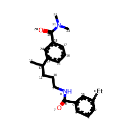 CCc1cccc(C(=O)NCCCC(C)c2cccc(C(=O)N(C)C)c2)c1